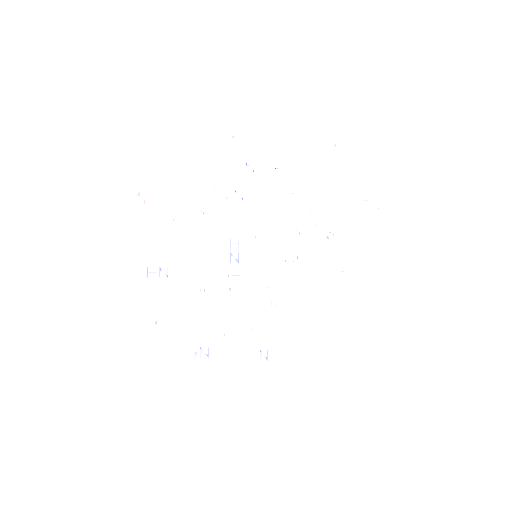 CN(C)C(=O)c1nccc(Nc2c(NC(c3nn(C)cc3OC(F)F)C3(C)CCCC3)c(=O)c2=O)c1O